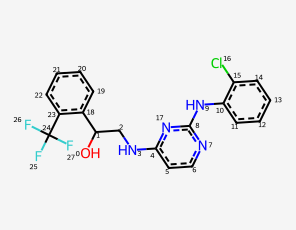 OC(CNc1ccnc(Nc2ccccc2Cl)n1)c1ccccc1C(F)(F)F